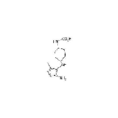 Cn1ncc(N)c1N[C@H]1CC[C@@H](NC(=O)O)CC1